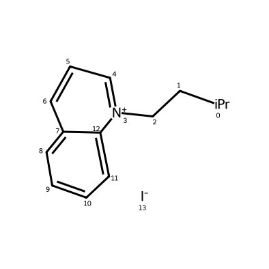 CC(C)CC[n+]1cccc2ccccc21.[I-]